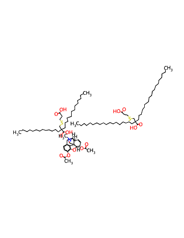 CC(=O)Oc1ccc2c3c1O[C@H]1[C@@H](OC(C)=O)C=C[C@H]4[C@@H](C2)N(C)CC[C@@]341.CCCCCCCCCCCCCC(CCCCCCCCCCCCC)(CSCCC(=O)O)C(=O)O.CCCCCCCCCCCCCCCCCCC(CCCCCCCCCCCCCCCCCC)(CSCCC(=O)O)C(=O)O